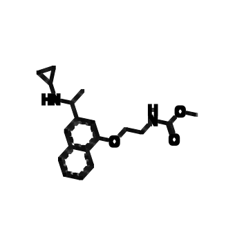 COC(=O)NCCOc1cc(C(C)NC2CC2)cc2ccccc12